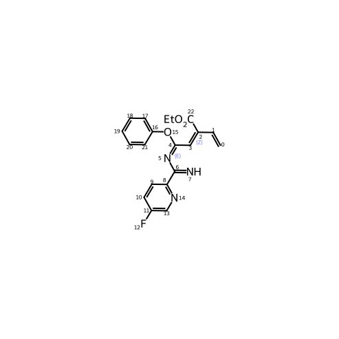 C=C/C(=C/C(=N\C(=N)c1ccc(F)cn1)Oc1ccccc1)C(=O)OCC